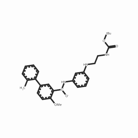 COc1ccc(-c2ccccc2C)cc1[S+]([O-])Nc1cccc(NCCNC(=O)OC(C)(C)C)c1